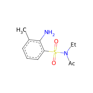 CCN(C(C)=O)S(=O)(=O)c1cccc(C)c1N